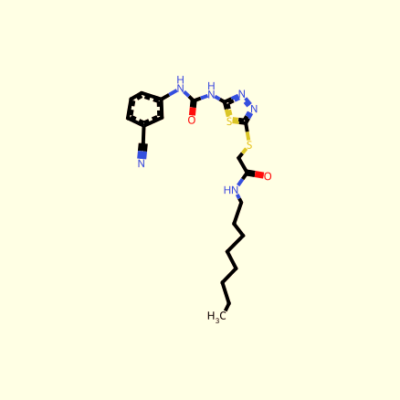 CCCCCCCCNC(=O)CSc1nnc(NC(=O)Nc2cccc(C#N)c2)s1